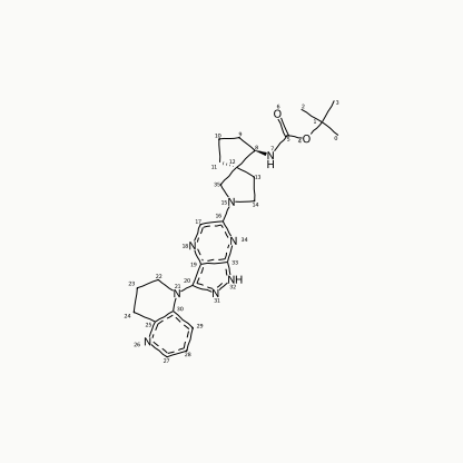 CC(C)(C)OC(=O)N[C@@H]1CCC[C@@]12CCN(c1cnc3c(N4CCCc5ncccc54)n[nH]c3n1)C2